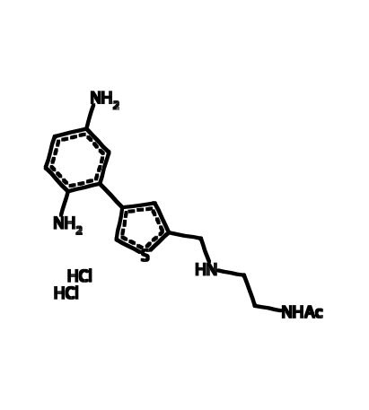 CC(=O)NCCNCc1cc(-c2cc(N)ccc2N)cs1.Cl.Cl